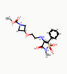 CC(C)(C)OC(=O)N1CC(OCCNC2=C(c3ccccc3)S(=O)(=O)N(C(C)(C)C)C2=O)C1